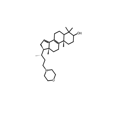 C[C@@H](CCN1CCOCC1)[C@H]1CC=C2C3=C(CC[C@@]21C)[C@@]1(C)CCC(O)C(C)(C)C1CC3